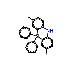 Cc1ccc2c(c1)[Si](c1ccccc1)(c1ccccc1)c1cc(C)ccc1N2